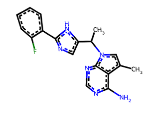 Cc1cn(C(C)c2cnc(-c3ccccc3F)[nH]2)c2ncnc(N)c12